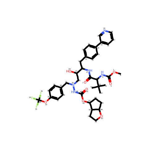 COC(=O)NC(C(=O)NC(Cc1ccc(-c2cccnc2)cc1)C(O)CN(Cc1ccc(OC(F)(F)F)cc1)NC(=O)OC1CCC2OCCC21)C(C)(C)C